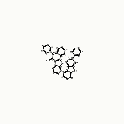 O=c1c2c3ccccc3n(-c3nc(-c4ccccc4)nc4sc5ccccc5c34)c2c2ccccc2n1-c1ccccc1